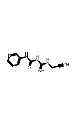 C#CCNC(=N)NC(=O)Nc1cccnc1